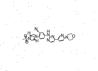 CS(=O)(=O)N1C[C@@H]2C[C@H]1CN2c1ccc(Nc2nccc(-c3ccc(N4CCOCC4)nc3)n2)cc1C#N